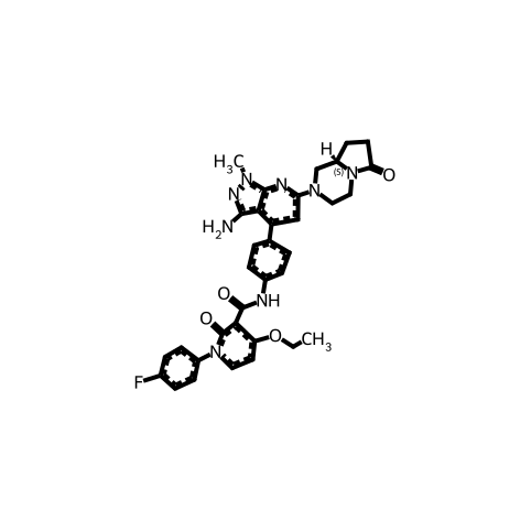 CCOc1ccn(-c2ccc(F)cc2)c(=O)c1C(=O)Nc1ccc(-c2cc(N3CCN4C(=O)CC[C@H]4C3)nc3c2c(N)nn3C)cc1